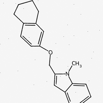 Cn1c(COc2ccc3c(c2)CCCC3)cc2ccccc21